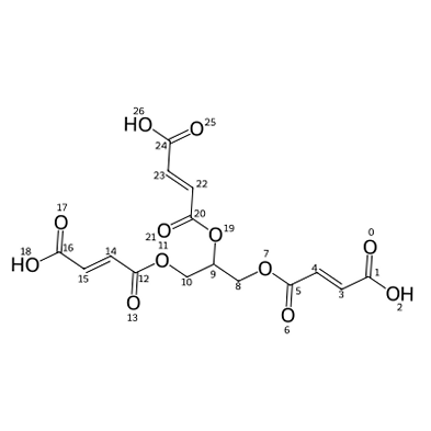 O=C(O)/C=C/C(=O)OCC(COC(=O)/C=C/C(=O)O)OC(=O)/C=C/C(=O)O